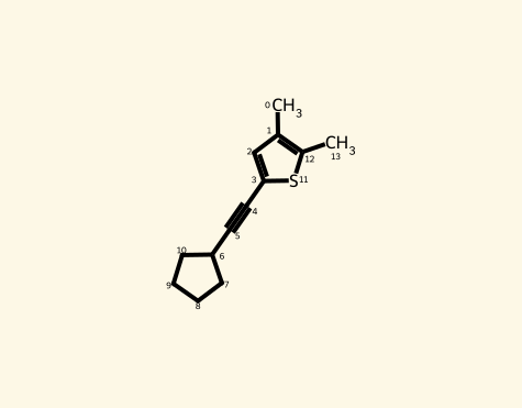 Cc1cc(C#CC2CCCC2)sc1C